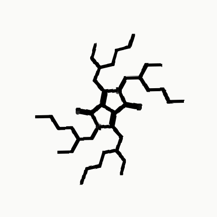 CCCCC(CC)CC1=C2C(=O)N(CC(CC)CCCC)C(CC(CC)CCCC)=C2C(=O)N1CC(CC)CCCC